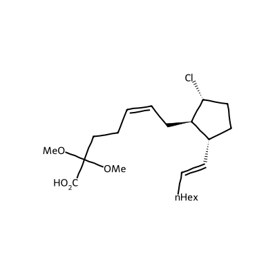 CCCCCC/C=C/[C@H]1CC[C@@H](Cl)[C@@H]1C/C=C\CCC(OC)(OC)C(=O)O